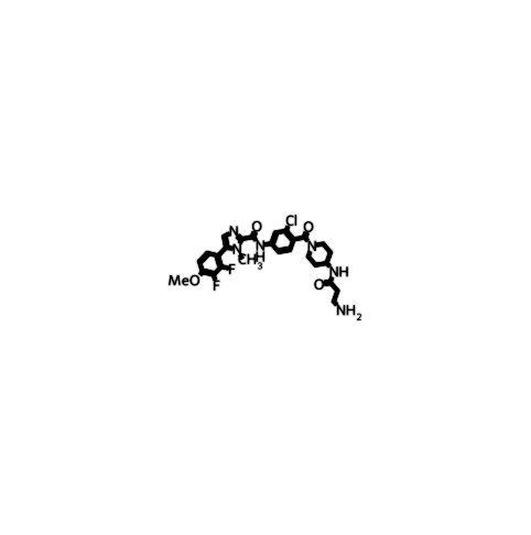 COc1ccc(-c2cnc(C(=O)Nc3ccc(C(=O)N4CCC(NC(=O)CCN)CC4)c(Cl)c3)n2C)c(F)c1F